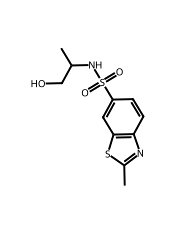 Cc1nc2ccc(S(=O)(=O)NC(C)CO)cc2s1